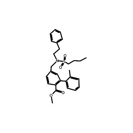 CCCCS(=O)(=O)N(CCc1ccccc1)Cc1ccc(C(=O)OC)c(-c2ccccc2C)c1